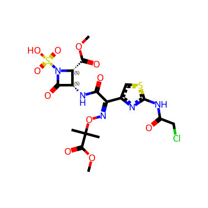 COC(=O)[C@@H]1[C@H](NC(=O)C(=NOC(C)(C)C(=O)OC)c2csc(NC(=O)CCl)n2)C(=O)N1S(=O)(=O)O